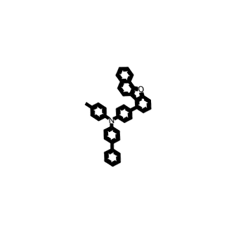 Cc1ccc(N(c2ccc(-c3ccccc3)cc2)c2ccc(-c3cccc4oc5c6ccccc6ccc5c34)cc2)cc1